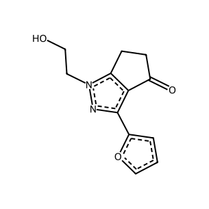 O=C1CCc2c1c(-c1ccco1)nn2CCO